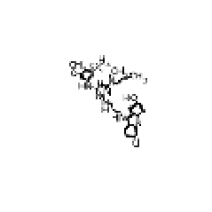 CCCCN(CC)c1nc(NCCCNc2c3ccc(Cl)cc3nc3ccc(O)cc23)nc(Nc2cc(OC)cc(OC)c2)n1